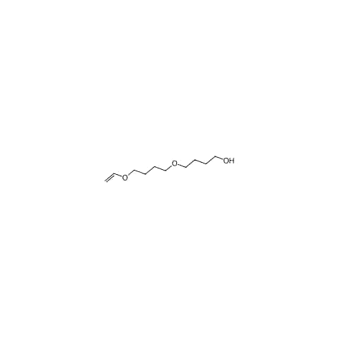 C=COCCCCOCCCCO